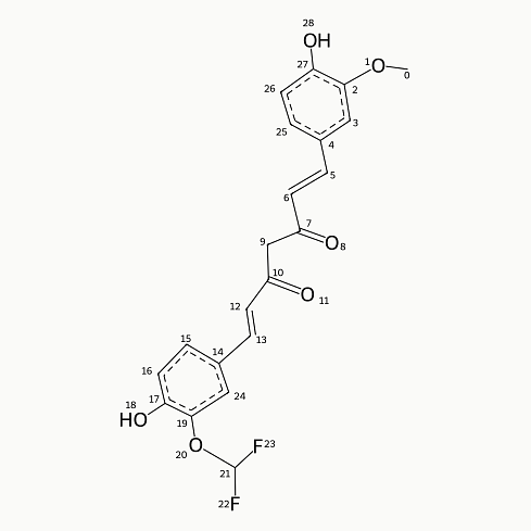 COc1cc(/C=C/C(=O)CC(=O)/C=C/c2ccc(O)c(OC(F)F)c2)ccc1O